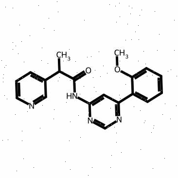 COc1ccccc1-c1cc(NC(=O)C(C)c2cccnc2)ncn1